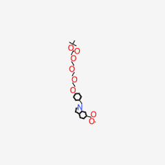 COC(=O)c1ccc2ccn(Cc3ccc(OCCOCCOCCOCC(=O)OC(C)(C)C)cc3)c2c1